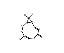 C/C1=C/CC(=O)/C=C/C2C(CC1)C2(C)C